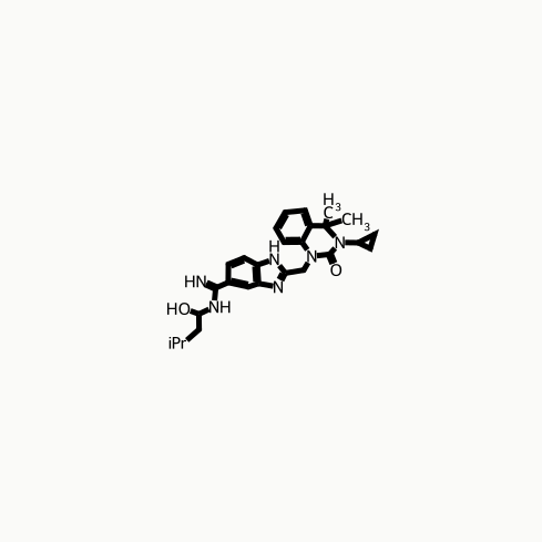 CC(C)CC(O)NC(=N)c1ccc2[nH]c(CN3C(=O)N(C4CC4)C(C)(C)c4ccccc43)nc2c1